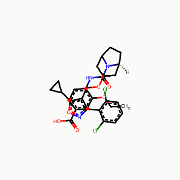 CCOc1cc(C(=O)O)ccc1NC(=O)N1C2CC[C@H]1CC(OCc1c(-c3c(Cl)cccc3Cl)noc1C1CC1)C2